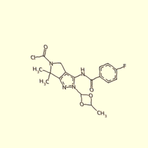 CC1OC(n2nc3c(c2NC(=O)c2ccc(F)cc2)CN(C(=O)Cl)C3(C)C)O1